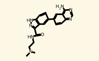 CN(C)CCNC(=O)c1n[nH]c2ccc(-c3ccc4ncnc(N)c4c3)cc12